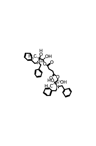 C[C@](O)([C@@H](O)OC(=O)CCC(=O)O[C@H](O)[C@](C)(O)N(Cc1ccccc1)Cc1ccccc1)N(Cc1ccccc1)Cc1ccccc1